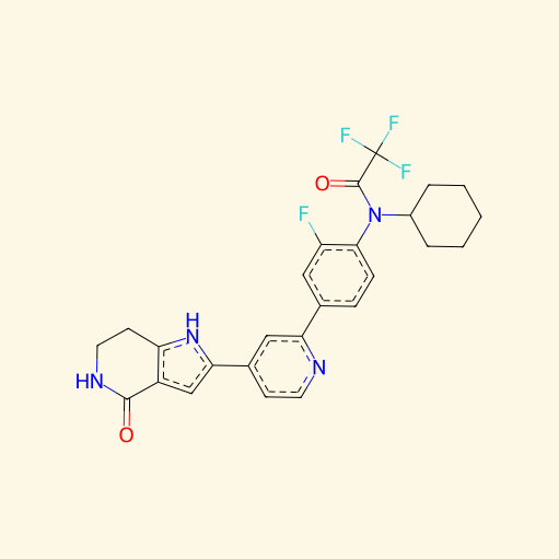 O=C1NCCc2[nH]c(-c3ccnc(-c4ccc(N(C(=O)C(F)(F)F)C5CCCCC5)c(F)c4)c3)cc21